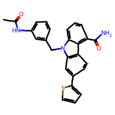 CC(=O)Nc1cccc(Cn2c3cc(-c4cccs4)c[c]c3c3c(C(N)=O)cccc32)c1